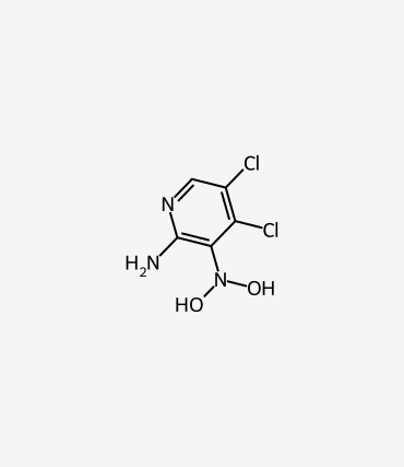 Nc1ncc(Cl)c(Cl)c1N(O)O